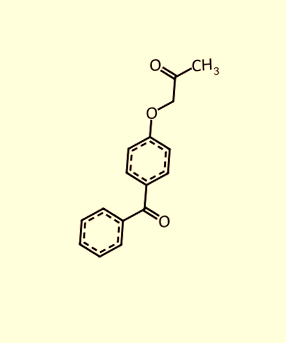 CC(=O)COc1ccc(C(=O)c2ccccc2)cc1